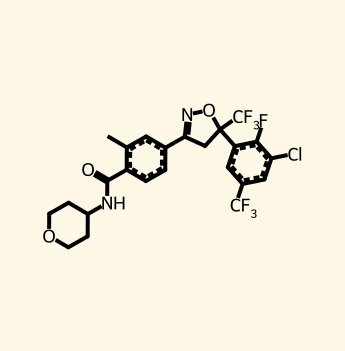 Cc1cc(C2=NOC(c3cc(C(F)(F)F)cc(Cl)c3F)(C(F)(F)F)C2)ccc1C(=O)NC1CCOCC1